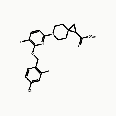 COC(=O)C1CC12CCN(c1ccc(F)c(OCc3ccc(C#N)cc3F)n1)CC2